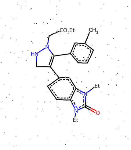 CCOC(=O)CN1NCC(c2ccc3c(c2)n(CC)c(=O)n3CC)=C1c1cccc(C)c1